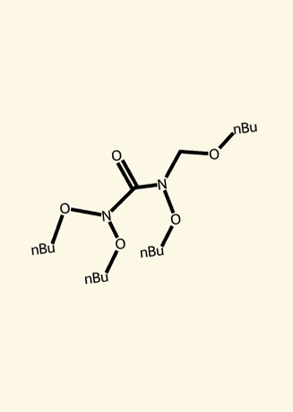 CCCCOCN(OCCCC)C(=O)N(OCCCC)OCCCC